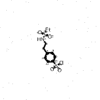 CCS(=O)(=O)NCCc1ccc(S(=O)(=O)Cl)cc1